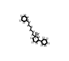 BrC1(CCCCCCc2ccccc2)C=CC=C(c2ccccc2)C1